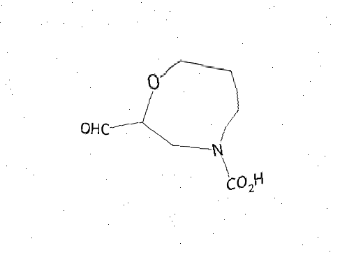 O=CC1CN(C(=O)O)CCCO1